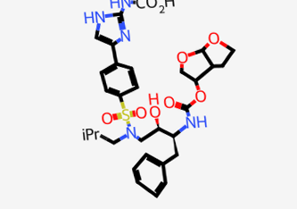 CC(C)CN(C[C@@H](O)[C@H](Cc1ccccc1)NC(=O)OC1COC2OCCC12)S(=O)(=O)c1ccc(-c2c[nH]c(NC(=O)O)n2)cc1